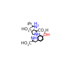 CC(C)[C@H](N)C(=O)O.N[C@@H](Cc1ccc(O)cc1)C(=O)O.O=C(O)[C@@H]1CCCN1